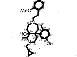 COc1ccccc1CCN1CCC2(c3cc(O)ccc3C)CCN(CC3CC3)C(C)C2(O)CC1